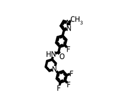 Cn1ccc(-c2ccc(C(=O)NC3CCCN(c4cc(F)c(F)c(F)c4)C3)c(F)c2)n1